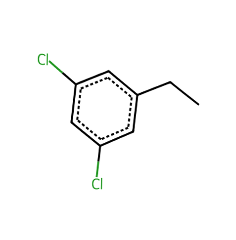 CCc1cc(Cl)cc(Cl)c1